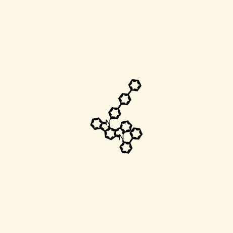 c1ccc(-c2ccc(-c3ccc(-n4c5ccccc5c5ccc6c(c7ccccc7n6-c6ccccc6-c6ccccc6)c54)cc3)cc2)cc1